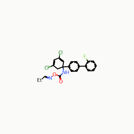 CCC=NOC(=O)NC1(c2ccc(-c3ccccc3F)cc2)C=C(Cl)C=C(Cl)C1